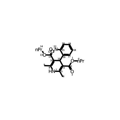 CCCOC(=O)C1=C(C)NC(C)=C(C(=O)OCCC)C1c1ccccc1[N+](=O)[O-]